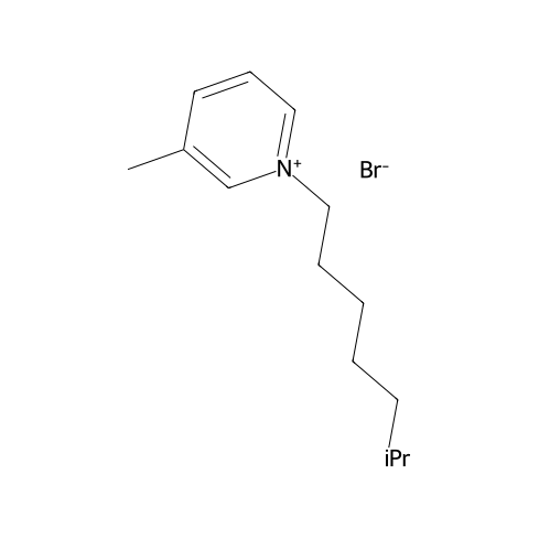 Cc1ccc[n+](CCCCCC(C)C)c1.[Br-]